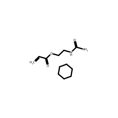 C1CCCCC1.C=CC(=O)OCCNC(N)=O